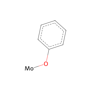 [Mo][O]c1ccccc1